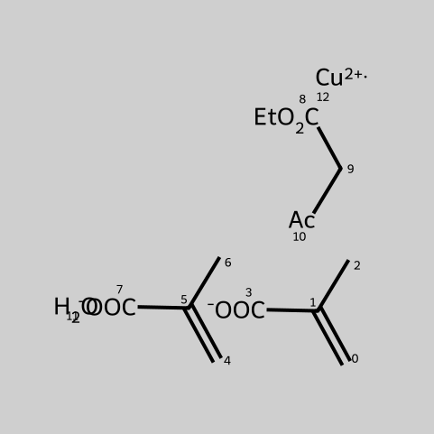 C=C(C)C(=O)[O-].C=C(C)C(=O)[O-].CCOC(=O)CC(C)=O.O.[Cu+2]